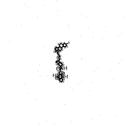 Cc1ccc2c(c1)CCC1C2CC[C@@]2(C)C1CCC2(C)C#CCOCc1csc2cc(NC(=O)CCC3NC(=O)c4ccccc4NC3=O)ccc12